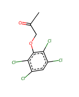 CC(=O)COc1c(Cl)c(Cl)cc(Cl)c1Cl